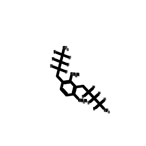 O=C(O)c1ccc(CC(F)(F)C(F)(F)C(F)(F)C(F)(F)F)c(C(=O)O)c1CC(F)(F)C(F)(F)C(F)(F)C(F)(F)F